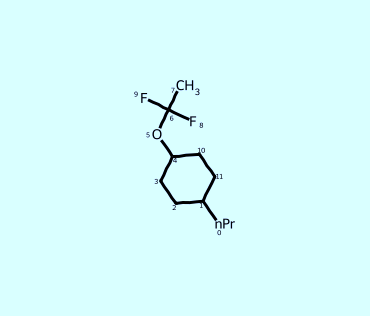 CCCC1CCC(OC(C)(F)F)CC1